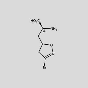 N[C@@H](CC1CC(Br)=NO1)C(=O)O